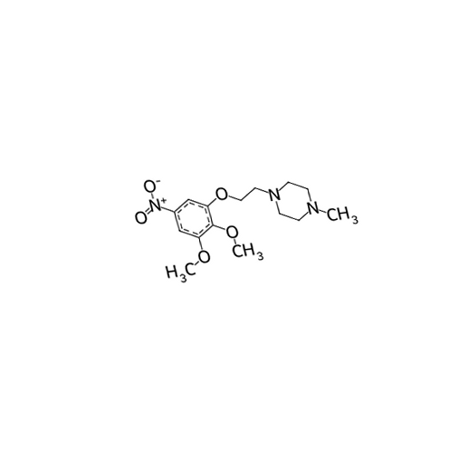 COc1cc([N+](=O)[O-])cc(OCCN2CCN(C)CC2)c1OC